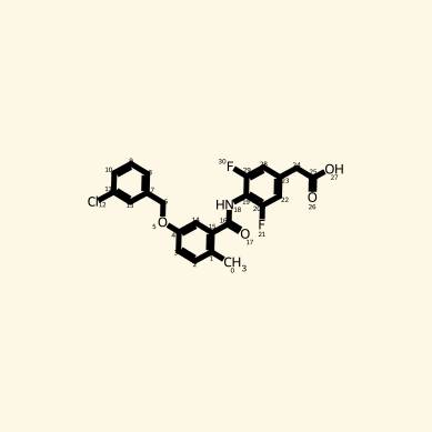 Cc1ccc(OCc2cccc(Cl)c2)cc1C(=O)Nc1c(F)cc(CC(=O)O)cc1F